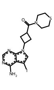 Nc1ncnc2c1c(I)cn2C1CC(C(=O)N2CCSCC2)C1